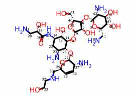 NC[C@@H]1O[C@H](O[C@H]2[C@@H](O)[C@H](O[C@@H]3[C@@H](O)[C@H](NC(=O)[C@@H](O)CN)C[C@H](N)[C@H]3O[C@H]3O[C@H](CNCCO)C=C[C@H]3N)O[C@@H]2CO)[C@H](N)[C@@H](O)[C@@H]1O